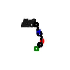 COc1ccc(C=CN2CCC(CCOc3ccc(Cl)cc3)CC2)cc1OC